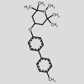 Cc1ccc(-c2ccc(OC3CC(C)(C)N(C)C(C)(C)C3)cc2)cc1